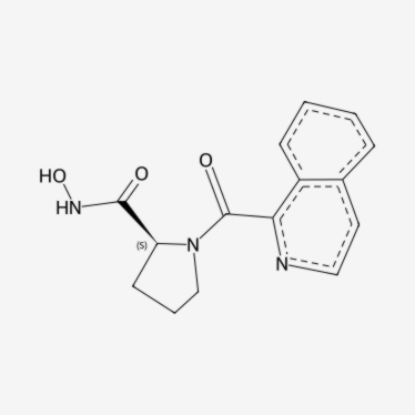 O=C(NO)[C@@H]1CCCN1C(=O)c1nccc2ccccc12